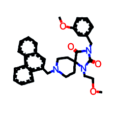 COCCN1C(=O)N(Cc2cccc(OC)c2)C(=O)C12CCN(Cc1cc3ccccc3c3ccccc13)CC2